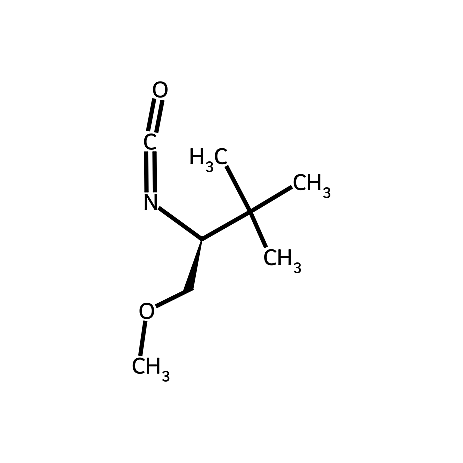 COC[C@@H](N=C=O)C(C)(C)C